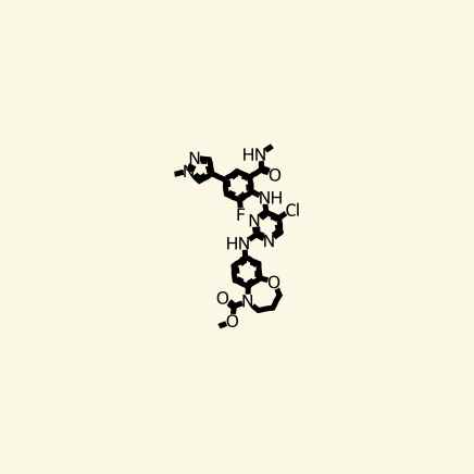 CNC(=O)c1cc(-c2cnn(C)c2)cc(F)c1Nc1nc(Nc2ccc3c(c2)OCCCN3C(=O)OC)ncc1Cl